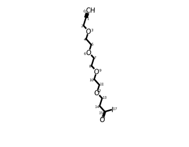 C#CCOCCOCCOCCOCCC(=O)I